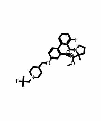 COC(=O)C1(C)CCCN1C(=O)c1c(F)cccc1-c1ccc(OCC2CCN(CC(C)(C)F)CC2)cc1C#N